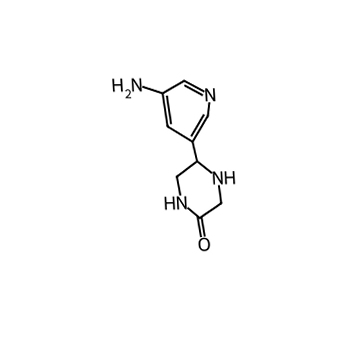 Nc1cncc(C2CNC(=O)CN2)c1